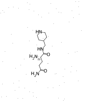 NC(=O)CC[C@H](N)C(=O)NCC1CCNCC1